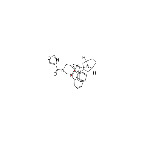 Cc1nc2ccccc2n1C1C[C@H]2CC[C@@H](C1)N2CCC1(c2ccccc2)CCN(C(=O)c2cocn2)CC1